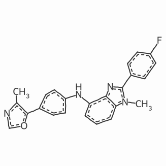 Cc1ncoc1-c1ccc(Nc2cccc3c2nc(-c2ccc(F)cc2)n3C)cc1